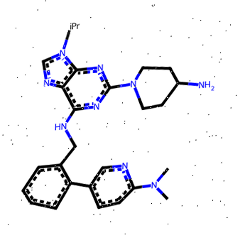 CC(C)n1cnc2c(NCc3ccccc3-c3ccc(N(C)C)nc3)nc(N3CCC(N)CC3)nc21